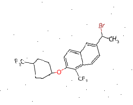 CC(Br)c1ccc2c(C(F)(F)F)c(OC3CCC(C(F)(F)F)CC3)ccc2c1